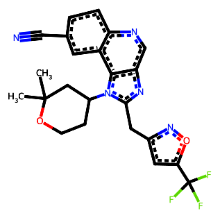 CC1(C)CC(n2c(Cc3cc(C(F)(F)F)on3)nc3cnc4ccc(C#N)cc4c32)CCO1